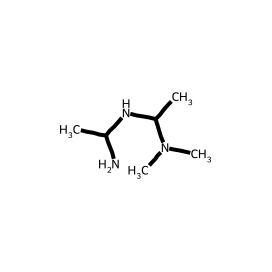 CC(N)NC(C)N(C)C